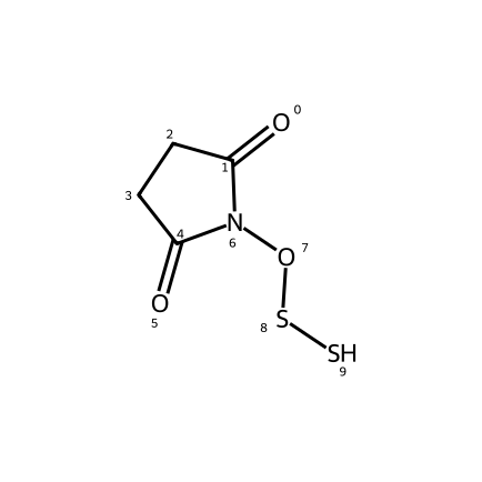 O=C1CCC(=O)N1OSS